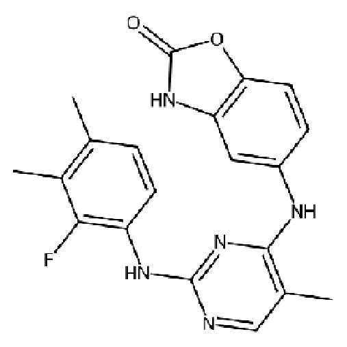 Cc1cnc(Nc2ccc(C)c(C)c2F)nc1Nc1ccc2oc(=O)[nH]c2c1